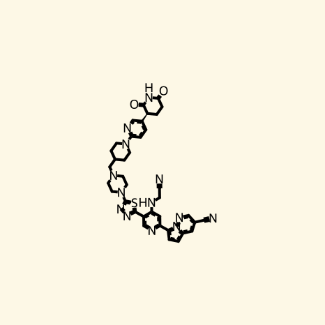 N#CCNc1cc(-c2ccc3cc(C#N)cnn23)ncc1-c1nnc(N2CCN(CC3CCN(c4ccc([C@@H]5CCC(=O)NC5=O)cn4)CC3)CC2)s1